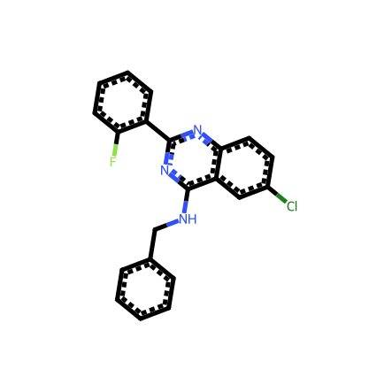 Fc1ccccc1-c1nc(NCc2ccccc2)c2cc(Cl)ccc2n1